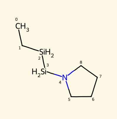 CC[SiH2][SiH2]N1CCCC1